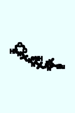 Cn1c[n+](CC(C)(C)c2n[n+](CC(C)(C)C3=NNCOCO3)c[nH]2)nc1C(C)(C)C